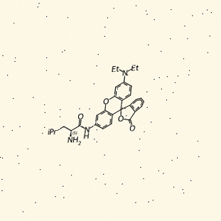 CCN(CC)c1ccc2c(c1)Oc1cc(NC(=O)[C@@H](N)CC(C)C)ccc1C21OC(=O)c2ccccc21